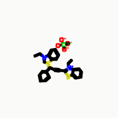 CCN1CS(=C(C#Cc2sc3ccccc3[n+]2CC)c2ccccc2)c2ccccc21.[O-][Cl+3]([O-])([O-])[O-]